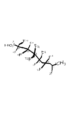 CC(F)C(F)(F)C(F)(F)C(F)(F)C(F)(F)C(F)(F)S(=O)(=O)O